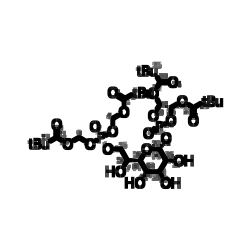 CC(C)(C)C(=O)OCOP(=O)(OCOC(=O)C(C)(C)C)OCC(O)[C@H]1O[C@H](OP(=O)(OCOC(=O)C(C)(C)C)OCOC(=O)C(C)(C)C)[C@@H](O)[C@@H](O)[C@@H]1O